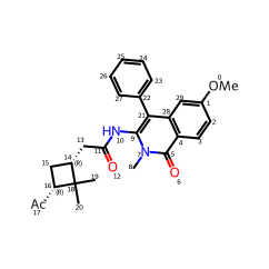 COc1ccc2c(=O)n(C)c(NC(=O)C[C@H]3C[C@@H](C(C)=O)C3(C)C)c(-c3ccccc3)c2c1